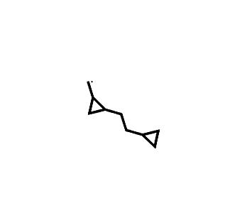 [CH2]C1CC1CCC1CC1